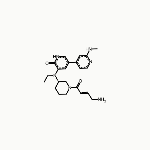 CCN(c1cc(-c2ccnc(NC)c2)c[nH]c1=O)[C@@H]1CCCN(C(=O)/C=C/CN)C1